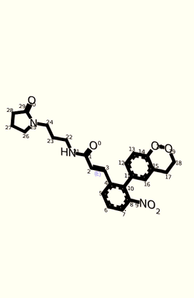 O=C(/C=C/c1cc[c]c([N+](=O)[O-])c1-c1ccc2c(c1)CCOO2)NCCCN1CCCC1=O